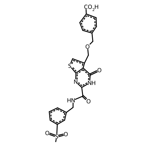 CS(=O)(=O)c1cccc(CNC(=O)c2nc3scc(COCc4ccc(C(=O)O)cc4)c3c(=O)[nH]2)c1